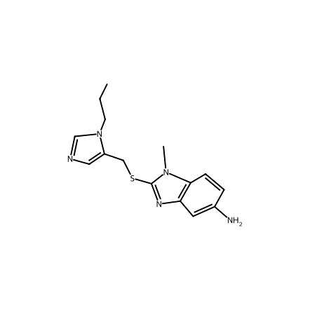 CCCn1cncc1CSc1nc2cc(N)ccc2n1C